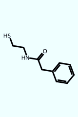 O=C(Cc1ccccc1)NCCS